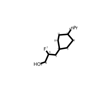 CCCC1CCC(CC(F)CO)CC1